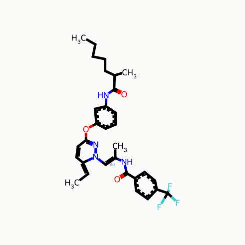 CC=C1C=CC(Oc2cccc(NC(=O)C(C)CCCCC)c2)=NN1/C=C(\C)NC(=O)c1ccc(C(F)(F)F)cc1